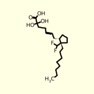 CCCCCCCC[C@]1([C](F)F)CCC[C@H]1CC=CCCC(O)(O)C(=O)O